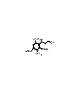 COc1cc(OC)c(NCCO)c(OC)c1N